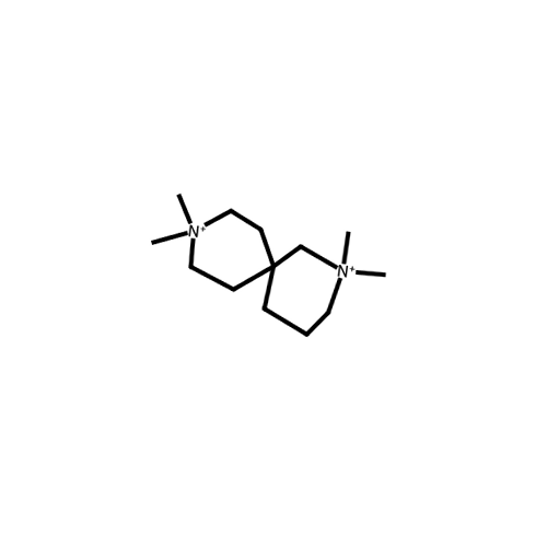 C[N+]1(C)CCC2(CCC[N+](C)(C)C2)CC1